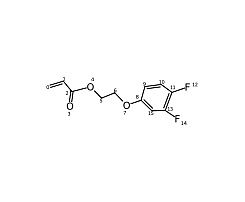 C=CC(=O)OCCOc1ccc(F)c(F)c1